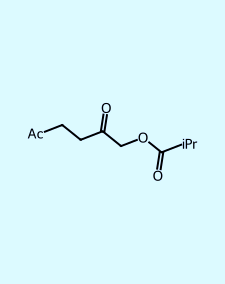 CC(=O)CCC(=O)COC(=O)C(C)C